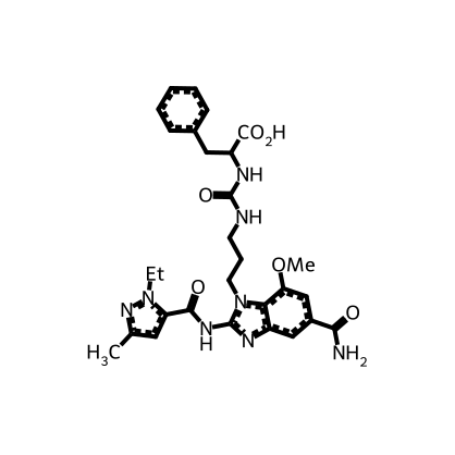 CCn1nc(C)cc1C(=O)Nc1nc2cc(C(N)=O)cc(OC)c2n1CCCNC(=O)NC(Cc1ccccc1)C(=O)O